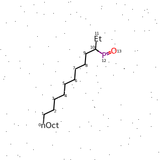 CCCCCCCCCCCCCCCCCC(CC)P=O